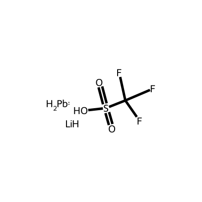 O=S(=O)(O)C(F)(F)F.[LiH].[PbH2]